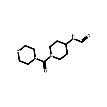 O=CNC1CCN(C(=O)N2CCOCC2)CC1